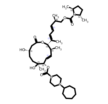 C/C(=C\C=C\[C@@H](C)COC(=O)N1[C@@H](C)CC[C@@H]1C)[C@H]1OC(=O)C[C@@H](O)CC[C@](C)(O)[C@@H](OC(=O)N2CCN(C3CCCCCC3)CC2)/C=C/[C@@H]1C